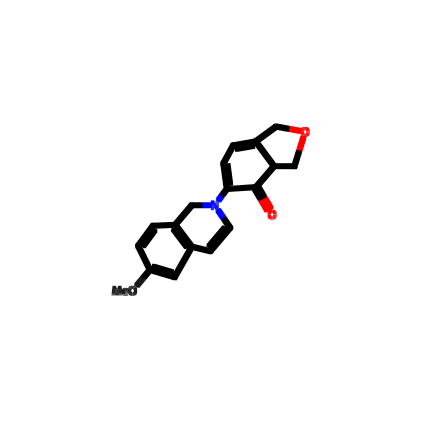 COc1ccc2c(c1)C=CN(C1=CC=C3COCC3C1=O)C2